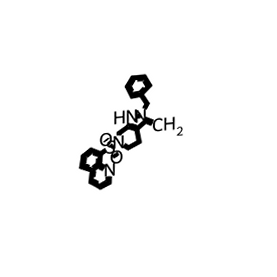 C=C1C2=C(CN(S(=O)(=O)c3cccc4cccnc34)CC2)NN1Cc1ccccc1